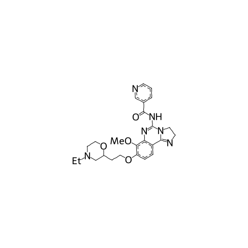 CCN1CCOC(CCOc2ccc3c(c2OC)N=C(NC(=O)c2cccnc2)N2CCN=C32)C1